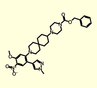 COc1cc(N2CCC3(CCC(N4CCN(C(=O)OCc5ccccc5)CC4)CC3)CC2)c(-c2cnn(C)c2)cc1[N+](=O)[O-]